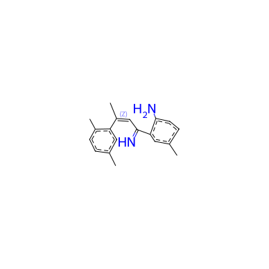 C/C(=C/C(=N)c1cc(C)ccc1N)c1cc(C)ccc1C